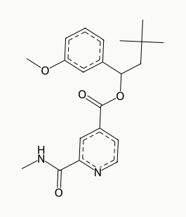 CNC(=O)c1cc(C(=O)OC(CC(C)(C)C)c2cccc(OC)c2)ccn1